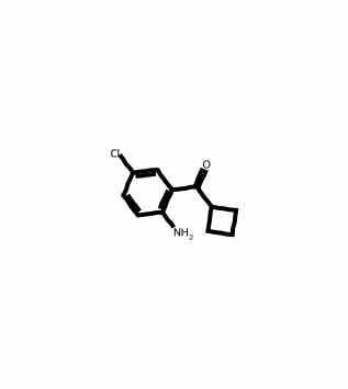 Nc1ccc(Cl)cc1C(=O)C1CCC1